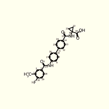 Cc1cc(C(=O)Nc2ccc(-c3ccc(C(=O)NC4(C(=O)O)CC4)cc3)cc2)ccc1F